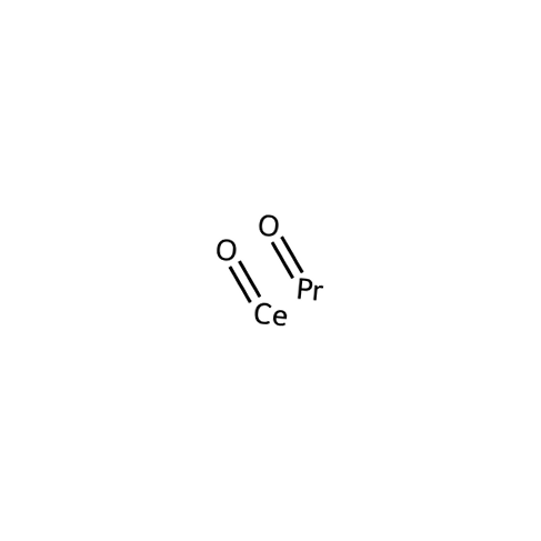 [O]=[Ce].[O]=[Pr]